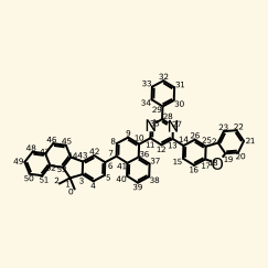 CC1(C)c2ccc(-c3ccc(-c4cc(-c5ccc6oc7ccccc7c6c5)nc(-c5ccccc5)n4)c4ccccc34)cc2-c2ccc3ccccc3c21